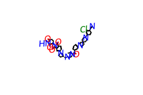 N#Cc1ccc(N2CCC3(CC2)CCN(c2cccc(C(=O)N4CCN(C[C@H]5CCN(c6ccc7c(c6)C(=O)N(C6CCC(=O)NC6=O)C7=O)C5)CC4)c2)C3)cc1Cl